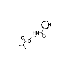 CC(C)C(=O)OCCNC(=O)c1cccnc1